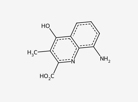 Cc1c(C(=O)O)nc2c(N)cccc2c1O